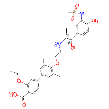 CCOc1cc(-c2cc(C)c(OCCN[C@@H](C)[C@H](O)c3ccc(O)c(NS(C)(=O)=O)c3)c(C)c2)ccc1C(=O)O